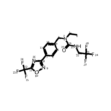 CCN(Cc1ccc(-c2noc(C(F)(F)F)n2)cc1)C(=O)NCC(F)(F)F